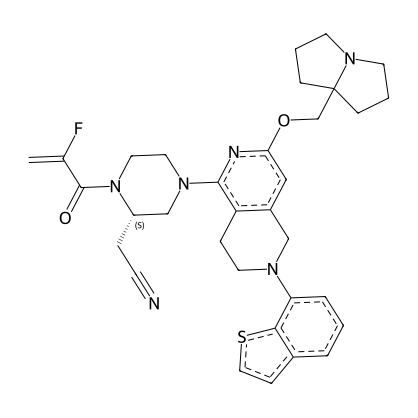 C=C(F)C(=O)N1CCN(c2nc(OCC34CCCN3CCC4)cc3c2CCN(c2cccc4ccsc24)C3)C[C@@H]1CC#N